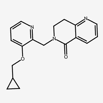 O=C1c2cccnc2CCN1Cc1ncccc1OCC1CC1